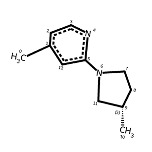 Cc1ccnc(N2CC[C@H](C)C2)c1